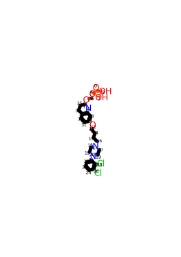 O=P(O)(O)OCOC1=Nc2cc(OCCCCN3CCN(c4cccc(Cl)c4Cl)CC3)ccc2CC1